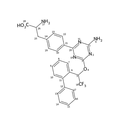 Nc1nc(OC(c2ccccc2-c2ccccc2)C(F)(F)F)nc(-c2ccc(CC(N)C(=O)O)cc2)n1